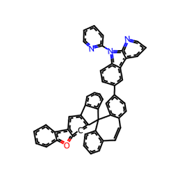 C1=Cc2ccc(-c3ccc4c(c3)c3cccnc3n4-c3ccccn3)cc2C2(c3ccccc31)c1ccccc1-c1cc3c(cc12)oc1ccccc13